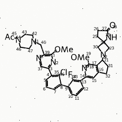 COc1nc(-c2cccc(-c3cccc(-c4cc5c(c(OC)n4)C(N4CC6(CCC(=O)N6)C4)CC5)c3F)c2Cl)cnc1CN1CCN(C(C)=O)CC1